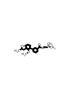 COc1c(CC(C)C)cccc1-c1cccc(C(=O)NCCN(C)C)c1